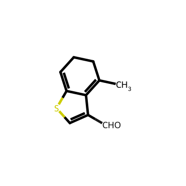 CC1=c2c(C=O)csc2=CCC1